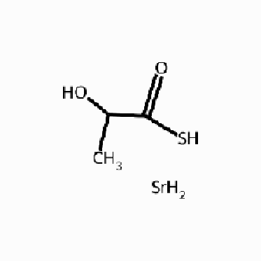 CC(O)C(=O)S.[SrH2]